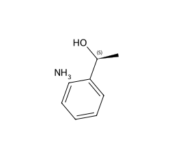 C[C@H](O)c1ccccc1.N